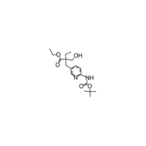 CCOC(=O)C(CC)(CO)Cc1ccc(NC(=O)OC(C)(C)C)nc1